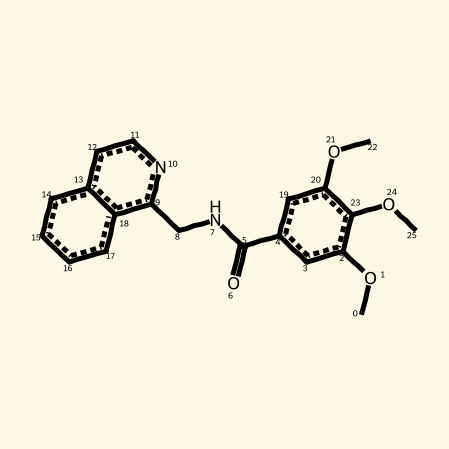 COc1cc(C(=O)NCc2nccc3ccccc23)cc(OC)c1OC